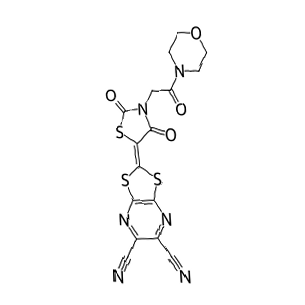 N#Cc1nc2c(nc1C#N)SC(=C1SC(=O)N(CC(=O)N3CCOCC3)C1=O)S2